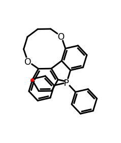 Cc1cccc2c1-c1c(cccc1P(c1ccccc1)c1ccccc1)OCCCCO2